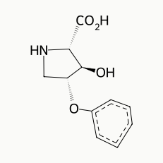 O=C(O)[C@H]1NC[C@@H](Oc2ccccc2)[C@@H]1O